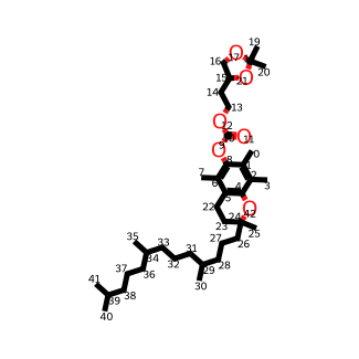 Cc1c(C)c2c(c(C)c1OC(=O)OCCC1COC(C)(C)O1)CCC(C)(CCCC(C)CCCC(C)CCCC(C)C)O2